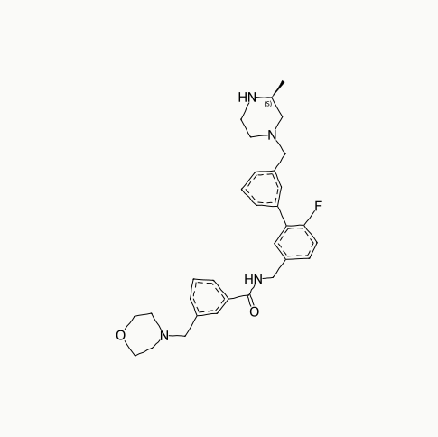 C[C@H]1CN(Cc2cccc(-c3cc(CNC(=O)c4cccc(CN5CCOCC5)c4)ccc3F)c2)CCN1